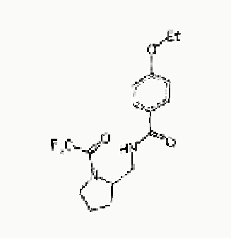 CCOc1ccc(C(=O)NCC2CCCN2C(=O)C(F)(F)F)cc1